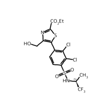 CCOC(=O)c1nc(CO)c(-c2ccc(S(=O)(=O)N[C@@H](C)C(F)(F)F)c(Cl)c2Cl)s1